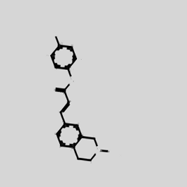 CN1CCc2ccc(C=CC(=O)Nc3ccc(Cl)cc3)cc2C1